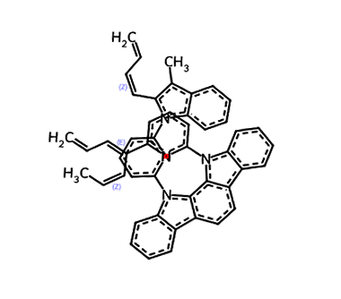 C=C/C=C\c1c(C)c2ccccc2n1-c1cccc(-n2c3ccccc3c3ccc4c5ccccc5n(-c5cccc(C(/C=C\C)=C/C=C)n5)c4c32)n1